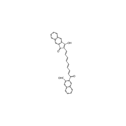 O=Cc1cc2ccccc2cc1C(=O)/C=C/C=C/C=C/C=C/C1=C(O)c2cc3ccccc3cc2C1=O